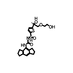 C[C@](O)(COCCO)c1ccc([SH](=O)=NC(=O)Nc2c3c(cc4c2CCC4)CCC3)s1